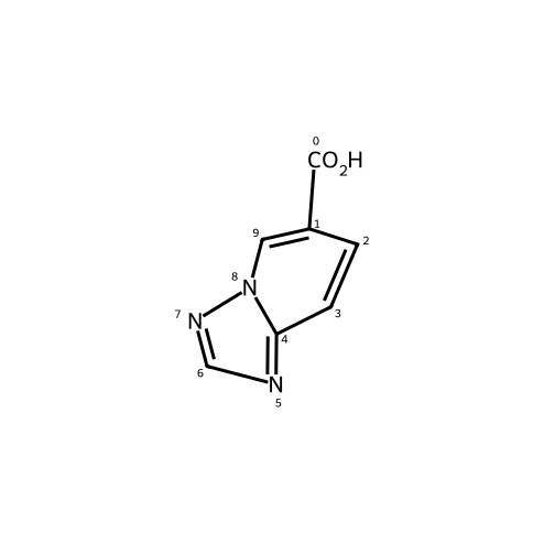 O=C(O)c1ccc2ncnn2c1